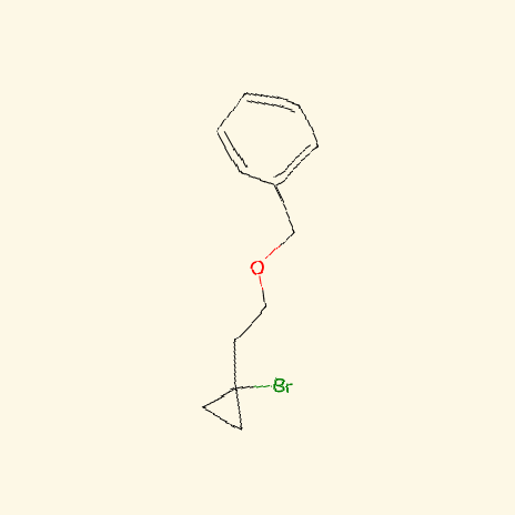 BrC1(CCOCc2ccccc2)CC1